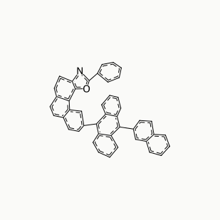 c1ccc(-c2nc3ccc4ccc5ccc(-c6c7ccccc7c(-c7ccc8ccccc8c7)c7ccccc67)cc5c4c3o2)cc1